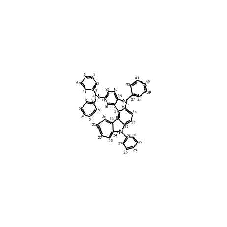 c1ccc(N(c2ccccc2)c2ccc3c(c2)c2c4c5ccccc5n(-c5ccccc5)c4ccc2n3-c2ccccc2)cc1